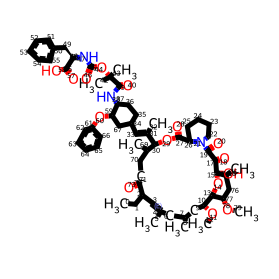 CCC1/C=C(\C)CC(C)CC(OC)C2OC(O)(C(=O)C(=O)N3CCCCC3C(=O)OC(C(C)=CC3CCC(NC(=O)C(C)(C)OC(=O)N[C@H](Cc4ccccc4)C(=O)O)C(Oc4ccccc4)C3)C(C)CCC1=O)C(C)CC2OC